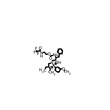 CCC(CC)CN(CC(O)C(Cc1ccccc1)NC(=O)OCCNC(=O)C(F)(F)F)S(=O)(=O)c1cccc(OC)c1